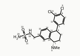 CN[C@H]1CCC(c2ccc(Cl)c(Cl)c2)c2ccc(CNS(N)(=O)=O)cc21